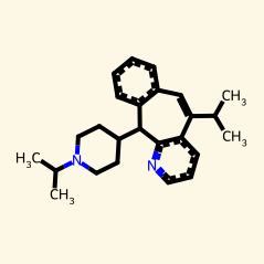 CC(C)C1=Cc2ccccc2C(C2CCN(C(C)C)CC2)c2ncccc21